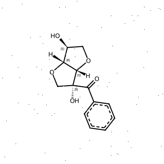 O=C(c1ccccc1)[C@@]1(O)CO[C@@H]2[C@@H](O)CO[C@@H]21